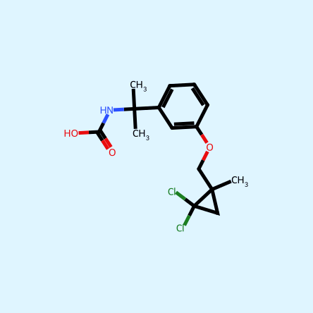 CC(C)(NC(=O)O)c1cccc(OCC2(C)CC2(Cl)Cl)c1